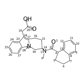 CN(C(=O)C1CCCc2ccccc21)[C@@H]1CCc2c(CC(=O)O)c3ccccc3n2C1